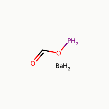 O=COP.[BaH2]